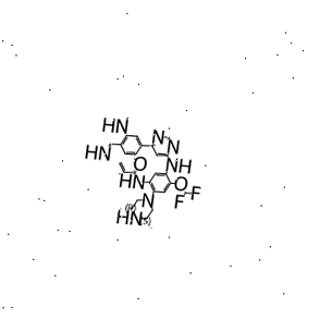 C=CC(=O)Nc1cc(Nc2cc(-c3ccc(C=N)c(NC)c3)ncn2)c(OC(F)F)cc1N1C[C@@H](C)N[C@@H](C)C1